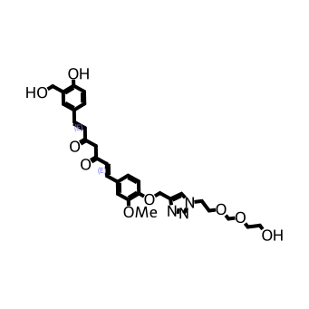 COc1cc(/C=C/C(=O)CC(=O)/C=C/c2ccc(O)c(CO)c2)ccc1OCc1cn(CCOCOCCO)nn1